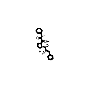 N[C@@H](Cc1ccccc1)C(=O)N1CCCC1C(O)C(=O)NC1CCCCC1